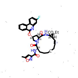 CCOC(=O)[C@@]12C[C@H]1/C=C\CCCCC[C@H](NC(=O)c1cc(C)on1)C(=O)N1C[C@H](Oc3nc4cc(F)ccc4c4ccccc34)C[C@H]1C(=O)N2